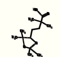 CC1(C)OC(CCC(C)(C)C(=O)O)C(C)(C)O1